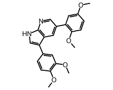 COc1ccc(OC)c(-c2cnc3[nH]cc(-c4ccc(OC)c(OC)c4)c3c2)c1